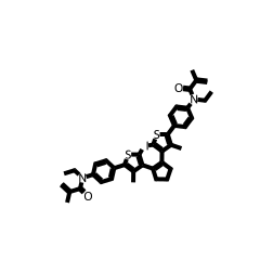 C=C(C)C(=O)N(CC)c1ccc(-c2sc(C)c(C3=C(c4c(I)sc(-c5ccc(N(CC)C(=O)C(=C)C)cc5)c4C)CCC3)c2C)cc1